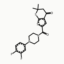 CC1(C)CC(=O)c2cc(C(=O)N3CCN(c4ccc(F)c(F)c4)CC3)sc2S1